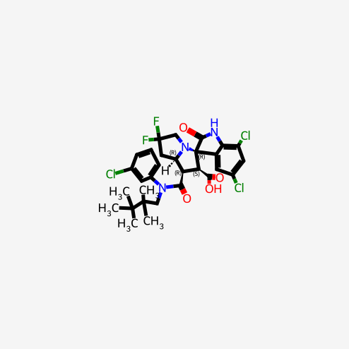 CC(C)(C)C(C)(C)CN(C(=O)[C@H]1[C@H]2CC(F)(F)CN2[C@]2(C(=O)Nc3c(Cl)cc(Cl)cc32)[C@H]1C(=O)O)c1cccc(Cl)c1